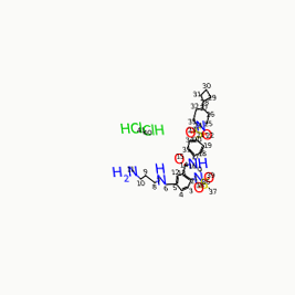 CN(c1ccc(CNCCCN)cc1C(=O)Nc1ccc(S(=O)(=O)N2CCC(C3CCC3)CC2)cc1)S(C)(=O)=O.Cl.Cl